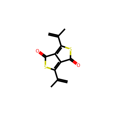 C=C(C)C1=C2C(=O)SC(C(=C)C)=C2C(=O)S1